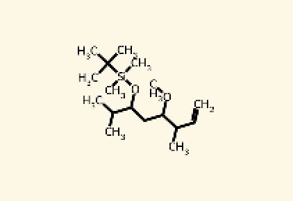 C=CC(C)C(CC(O[Si](C)(C)C(C)(C)C)C(C)C)OC